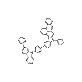 c1ccc(-c2ccc3c4ccccc4n(-c4ccc(-c5ccc6c(c5)c5c7cccc8c7c(cc5n6-c5ccccc5)Sc5ccccc5-8)cc4)c3c2)cc1